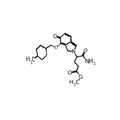 COC(=O)CCC(C(N)=O)N1C=C2C=CC(=O)C(OCC3CCC(C)CC3)=C2C1